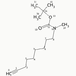 C#CCCCCCCCN(C)C(=O)OC(C)(C)C